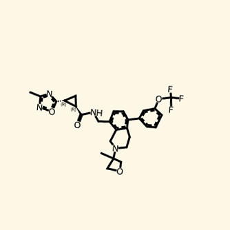 Cc1noc([C@@H]2C[C@H]2C(=O)NCc2ccc(-c3cccc(OC(F)(F)F)c3)c3c2CN(C2(C)COC2)CC3)n1